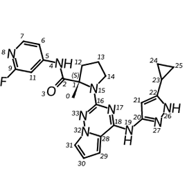 C[C@@]1(C(=O)Nc2ccnc(F)c2)CCCN1c1nc(Nc2cc(C3CC3)[nH]n2)c2cccn2n1